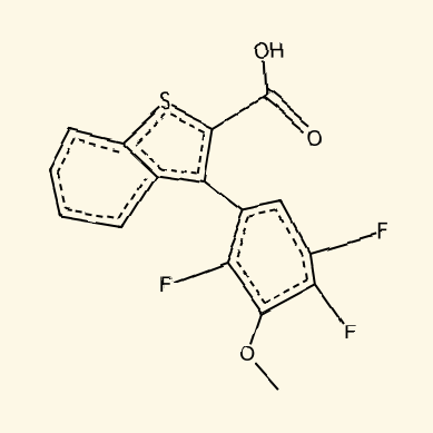 COc1c(F)c(F)cc(-c2c(C(=O)O)sc3ccccc23)c1F